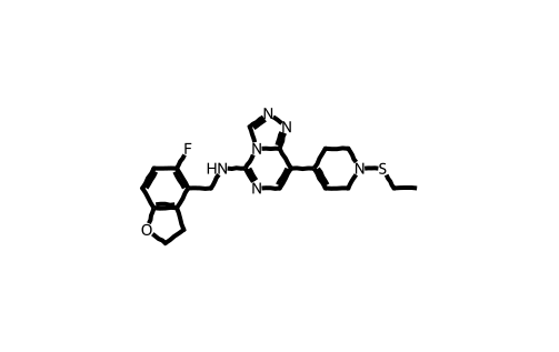 CCSN1CC=C(c2cnc(NCc3c(F)ccc4c3CCO4)n3cnnc23)CC1